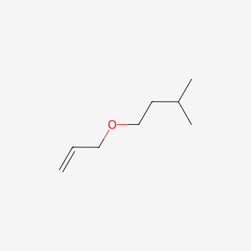 C=CCOCCC(C)C